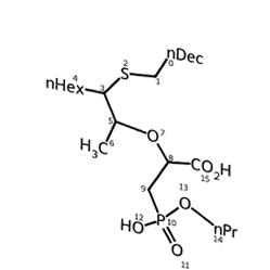 CCCCCCCCCCCSC(CCCCCC)C(C)OC(CP(=O)(O)OCCC)C(=O)O